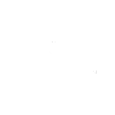 C=CC[S+]([O-])C/C=C/S